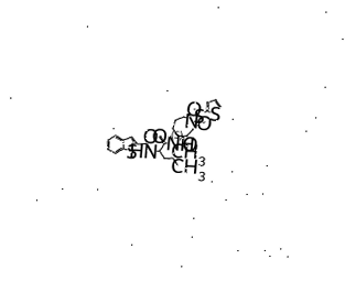 CC(C)CC(NC(=O)c1cc2ccccc2s1)C(=O)N[C@H]1CCCN(S(=O)(=O)c2cccs2)CC1=O